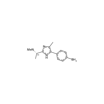 Bc1ccc(-c2[nH]c([C@H](C)NC)nc2C)cc1